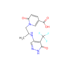 CC(Cn1cc(C(=O)O)ccc1=O)Nc1cn[nH]c(=O)c1C(F)(F)F